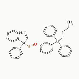 C=CC([S+]=O)(c1ccccc1)c1ccccc1.CCCC[B-](c1ccccc1)(c1ccccc1)c1ccccc1